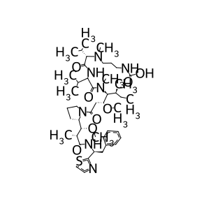 CC[C@H](C)[C@@H]([C@@H](CC(=O)N1CCC[C@H]1[C@H](OC)[C@@H](C)C(=O)N[C@@H](Cc1ccccc1)c1nccs1)OC)N(C)C(=O)[C@@H](NC(=O)[C@H](C(C)C)N(C)CCCNC(=O)O)C(C)C